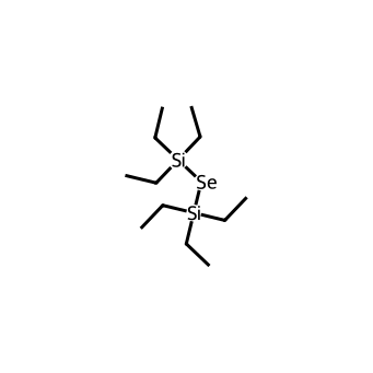 CC[Si](CC)(CC)[Se][Si](CC)(CC)CC